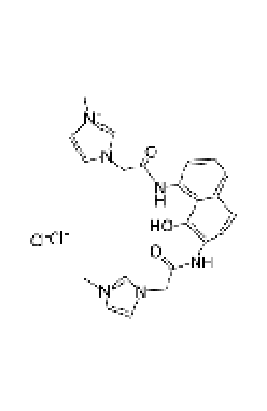 C[n+]1ccn(CC(=O)Nc2ccc3cccc(NC(=O)Cn4cc[n+](C)c4)c3c2O)c1.[Cl-].[Cl-]